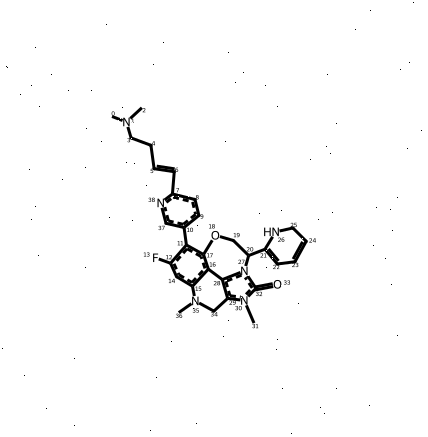 CN(C)CC/C=C/c1ccc(-c2c(F)cc3c4c2OCC(C2=CC=CCN2)n2c-4c(n(C)c2=O)CN3C)cn1